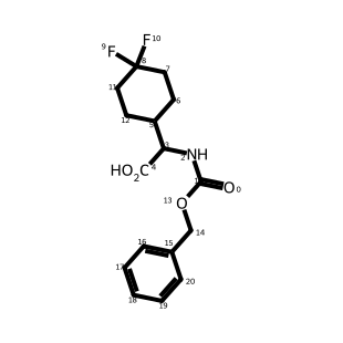 O=C(NC(C(=O)O)C1CCC(F)(F)CC1)OCc1ccccc1